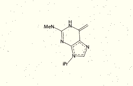 C=C1NC(NC)=Nc2c1ncn2C(C)C